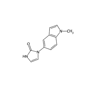 Cn1ccc2cc(-n3cc[nH]c3=O)ccc21